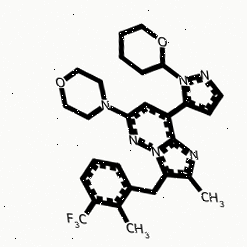 Cc1nc2c(-c3ccnn3C3CCCCO3)cc(N3CCOCC3)nn2c1Cc1cccc(C(F)(F)F)c1C